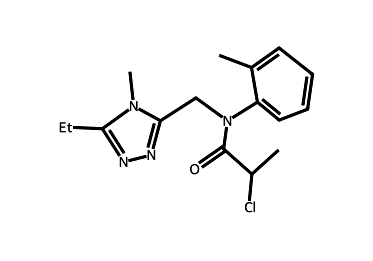 CCc1nnc(CN(C(=O)C(C)Cl)c2ccccc2C)n1C